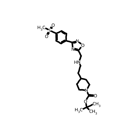 CC(C)(C)OC(=O)N1CCC(CCNCc2nc(-c3ccc(S(C)(=O)=O)cc3)no2)CC1